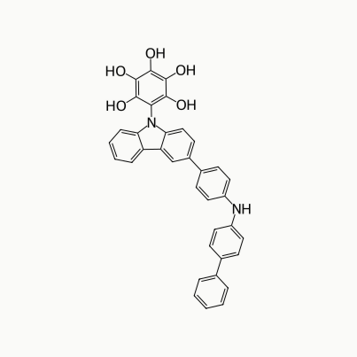 Oc1c(O)c(O)c(-n2c3ccccc3c3cc(-c4ccc(Nc5ccc(-c6ccccc6)cc5)cc4)ccc32)c(O)c1O